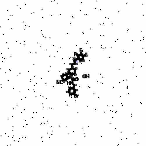 Cl.N#Cc1ccc2c3c(n(C(=O)NCc4ccnc(Br)c4)c2c1)CCN(C/C=C/c1ccc(F)c(F)c1F)C3